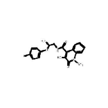 CC(CNC(=O)c1c(O)c(=O)n(C)c2ccccc12)Oc1ccc(F)cc1